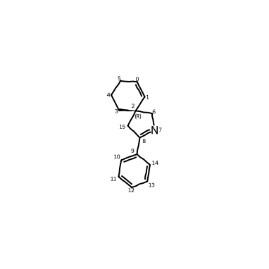 C1=C[C@]2(CCC1)CN=C(c1ccccc1)C2